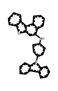 c1ccc2c(c1)oc1cc(Nc3ccc(-n4c5ccccc5c5ccccc54)cc3)c3ccccc3c12